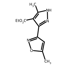 CCOC(=O)c1c(-c2cc(C)on2)n[nH]c1C